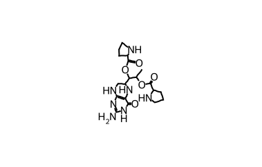 CC(OC(=O)C1CCCN1)C(OC(=O)C1CCCN1)C1CNc2nc(N)[nH]c(=O)c2N1